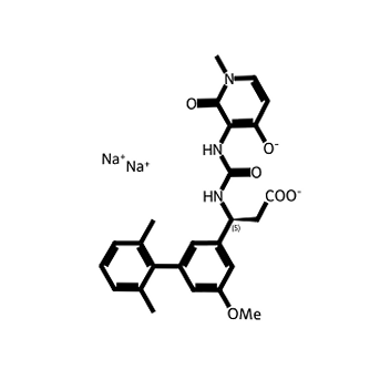 COc1cc(-c2c(C)cccc2C)cc([C@H](CC(=O)[O-])NC(=O)Nc2c([O-])ccn(C)c2=O)c1.[Na+].[Na+]